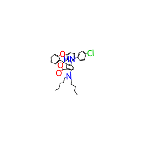 CCCCCN(CCCCC)c1ccc(Nc2ccc(Cl)cc2)c2c1C(=O)OC21c2ccccc2Oc2ccccc21